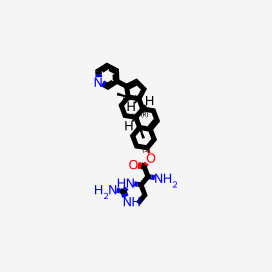 CCC(NC(=N)N)C(N)C(=O)O[C@H]1CC[C@@]2(C)C(=CC[C@@H]3[C@@H]2CC[C@]2(C)C(c4cccnc4)=CC[C@@H]32)C1